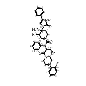 NC1(n2cc(-c3ccccc3)[nH]c2=O)CCN(C(=O)N(c2ccccc2)[C@@H](CBr)C(=O)N2CCN(c3ccccc3F)CC2)CC1Br